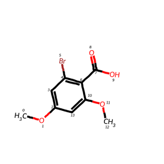 COc1cc(Br)c(C(=O)O)c(OC)c1